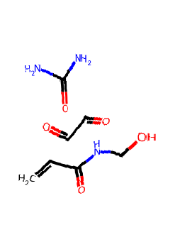 C=CC(=O)NCO.NC(N)=O.O=CC=O